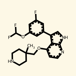 CC1(COc2ccnc3[nH]cc(-c4cc(F)cc(OC(F)F)c4)c23)CCNCC1